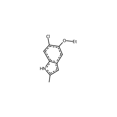 CCOc1cc2cc(C)[nH]c2cc1Cl